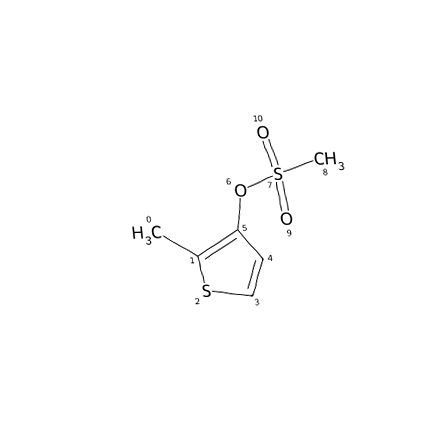 Cc1sccc1OS(C)(=O)=O